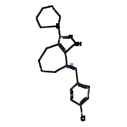 Clc1ccc(/C=C2\CCCCc3c(N4CCCCC4)n[nH]c32)cc1